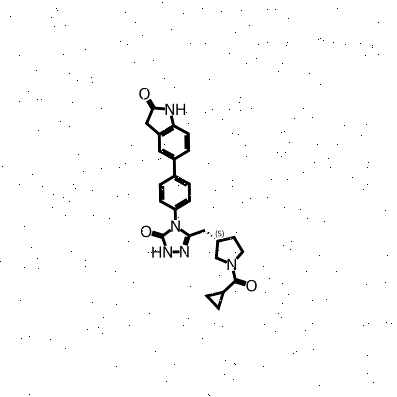 O=C1Cc2cc(-c3ccc(-n4c(C[C@@H]5CCN(C(=O)C6CC6)C5)n[nH]c4=O)cc3)ccc2N1